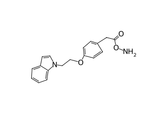 NOC(=O)Cc1ccc(OCCn2ccc3ccccc32)cc1